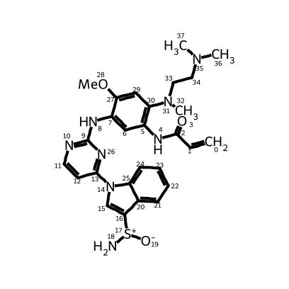 C=CC(=O)Nc1cc(Nc2nccc(-n3cc([S+](N)[O-])c4ccccc43)n2)c(OC)cc1N(C)CCN(C)C